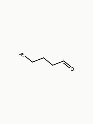 O=[C]CCCS